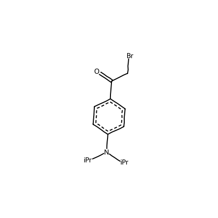 CC(C)N(c1ccc(C(=O)CBr)cc1)C(C)C